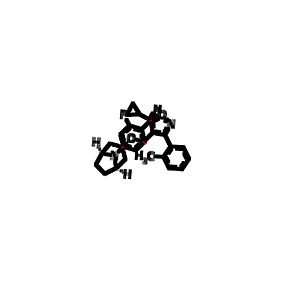 Cc1ccccc1-c1noc(C2CC2)c1CO[C@H]1C[C@H]2CC[C@@H](C1)N2c1ccc(C#N)c(F)c1